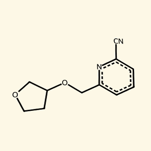 N#Cc1cccc(COC2CCOC2)n1